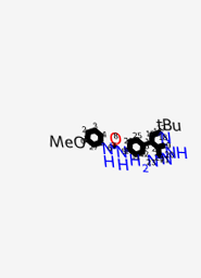 COc1cccc(NC(=O)Nc2ccc(-c3cc(C(C)(C)C)nc4[nH]nc(N)c34)cc2)c1